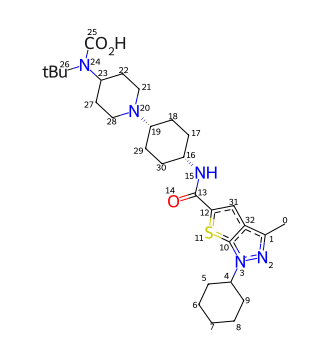 Cc1nn(C2CCCCC2)c2sc(C(=O)N[C@H]3CC[C@@H](N4CCC(N(C(=O)O)C(C)(C)C)CC4)CC3)cc12